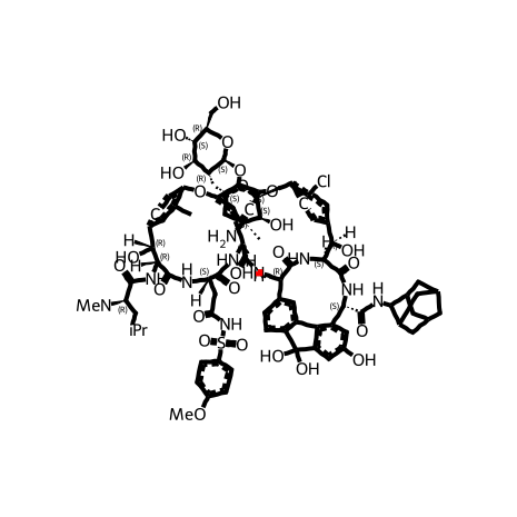 CN[C@H](CC(C)C)C(=O)N[C@H]1C(=O)N[C@@H](CC(=O)NS(=O)(=O)c2ccc(OC)cc2)C(=O)N[C@H]2C(=O)N[C@H]3C(=O)N[C@H](C(=O)N[C@H](C(=O)NC4C5CC6CC(C5)CC4C6)c4cc(O)cc5c4-c4cc3ccc4C5(O)O)[C@H](O)c3ccc(c(Cl)c3)Oc3cc2cc(c3O[C@@H]2O[C@H](CO)[C@@H](O)[C@H](O)[C@H]2C[C@H]2C[C@](C)(N)[C@H](O)[C@H](C)O2)Oc2ccc(cc2C)[C@H]1O